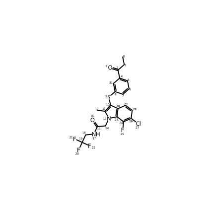 CCC(=O)c1cccc(Sc2c(C)n(CC(=O)NCC(F)(F)F)c3c(F)c(Cl)ccc23)c1